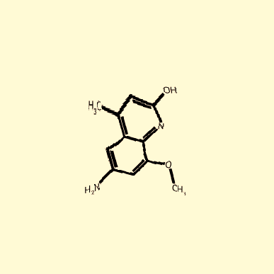 COc1cc(N)cc2c(C)cc(O)nc12